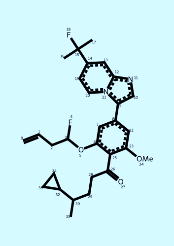 C=CCC(F)Oc1cc(-c2cnc3cc(C(C)(C)F)ccn23)cc(OC)c1C(=O)CCC(C)C1CC1